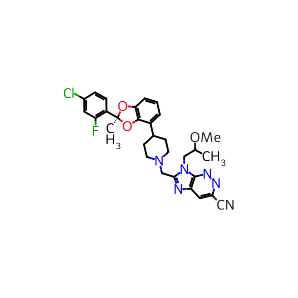 COC(C)Cn1c(CN2CCC(c3cccc4c3O[C@@](C)(c3ccc(Cl)cc3F)O4)CC2)nc2cc(C#N)nnc21